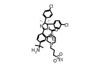 CCOc1cc(C(C)(C)N)ccc1C1=N[C@@](C)(c2ccc(Cl)cc2)[C@@](C)(c2ccc(Cl)cc2)N1C(=O)N1CCN(CCCS(=O)(=O)CC)CC1